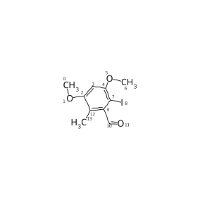 COc1cc(OC)c(I)c(C=O)c1C